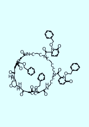 O=C1N[C@H]2COC[C@H]2NC(=O)c2ccc(n(OCc3ccccc3)c2=O)C(=O)NCCCN(C(=O)c2cccc(=O)n2OCc2ccccc2)CCCCN(C(=O)c2cccc(=O)n2OCc2ccccc2)CCCNC(=O)c2ccc1c(=O)n2OCc1ccccc1